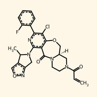 C=CC(=O)N1CCN2C(=O)c3c(N4Cc5nocc5C4C)nc(-c4ccccc4F)c(Cl)c3OC[C@H]2C1